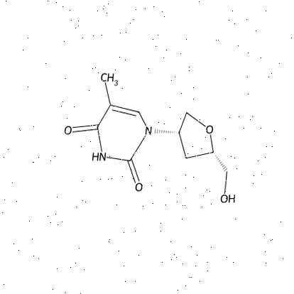 Cc1cn([C@@H]2CO[C@H](CO)C2)c(=O)[nH]c1=O